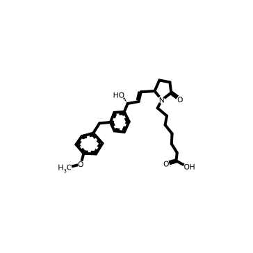 COc1ccc(Cc2cccc([C@H](O)/C=C/C3CCC(=O)N3CCCCCCC(=O)O)c2)cc1